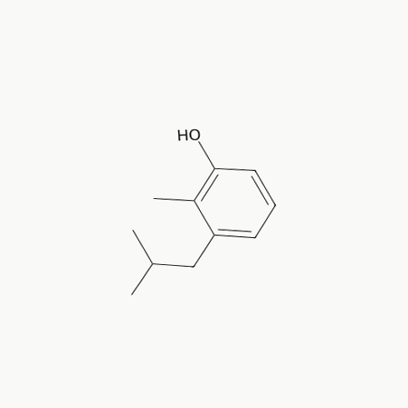 Cc1c(O)cccc1CC(C)C